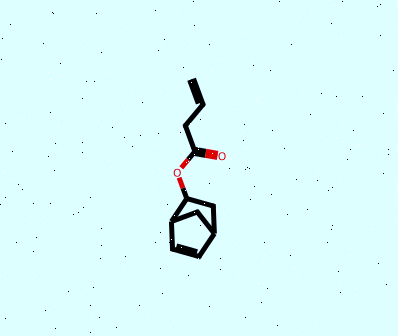 C=CCC(=O)OC1CC2C=CC1C2